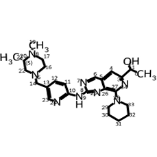 CC(O)c1cc2cnc(Nc3ccc(CN4CCN(C)[C@@H](C)C4)cn3)nc2c(N2CCCCC2)n1